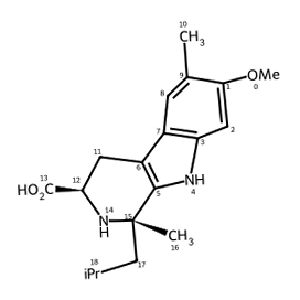 COc1cc2[nH]c3c(c2cc1C)C[C@H](C(=O)O)N[C@@]3(C)CC(C)C